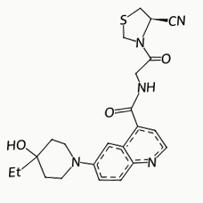 CCC1(O)CCN(c2ccc3nccc(C(=O)NCC(=O)N4CSC[C@H]4C#N)c3c2)CC1